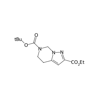 CCOC(=O)c1cc2n(n1)CN(C(=O)OC(C)(C)C)CC2